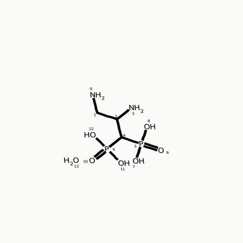 NCC(N)C(P(=O)(O)O)P(=O)(O)O.O